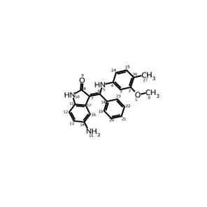 COc1cc(N/C(=C2\C(=O)Nc3ccc(N)cc32)c2ccccc2)ccc1C